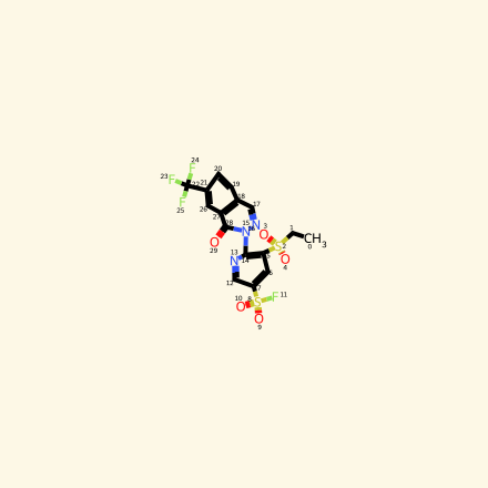 CCS(=O)(=O)c1cc(S(=O)(=O)F)cnc1-n1ncc2ccc(C(F)(F)F)cc2c1=O